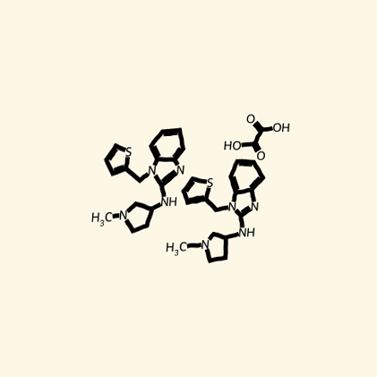 CN1CCC(Nc2nc3ccccc3n2Cc2cccs2)C1.CN1CCC(Nc2nc3ccccc3n2Cc2cccs2)C1.O=C(O)C(=O)O